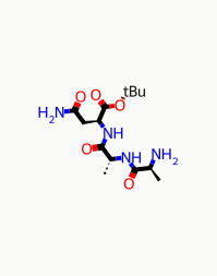 C[C@H](N)C(=O)N[C@H](C)C(=O)N[C@@H](CC(N)=O)C(=O)OC(C)(C)C